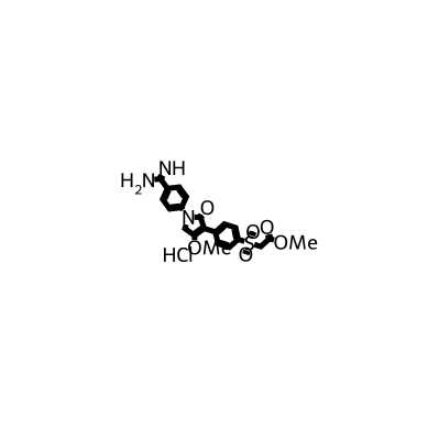 COC(=O)CS(=O)(=O)c1ccc(C2=C(OC)CN(c3ccc(C(=N)N)cc3)C2=O)cc1.Cl